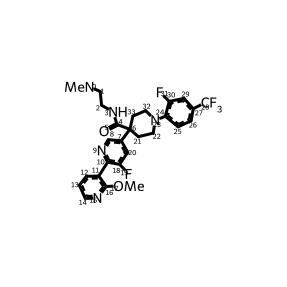 CNCCNC(=O)C1(c2cnc(-c3cccnc3OC)c(F)c2)CCN(c2ccc(C(F)(F)F)cc2F)CC1